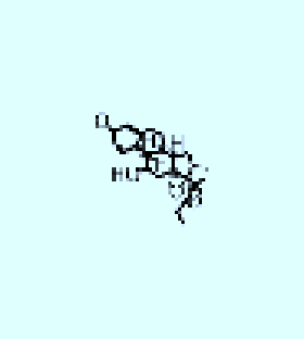 CCC(=O)O[C@]1(C(C)=O)C(C)C[C@H]2[C@@H]3CCC4=CC(=O)C=C[C@]4(C)[C@@]3(F)C(O)C[C@@]21C